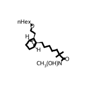 CCCCCCOCC[C@H]1[C@@H](CCCCCC(C)(C)C(=O)N(C)O)[C@H]2CC[C@@H]1O2